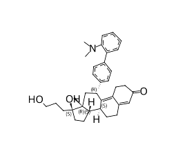 CN(C)c1ccccc1-c1ccc([C@H]2C[C@]3(C)[C@@H](CC[C@]3(O)CCCO)[C@@H]3CCC4=CC(=O)CCC4=C32)cc1